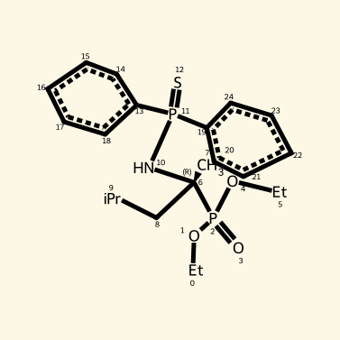 CCOP(=O)(OCC)[C@](C)(CC(C)C)NP(=S)(c1ccccc1)c1ccccc1